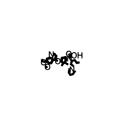 CCCC(CCN1CCCCC1)N(C(=O)O)c1ccc(Oc2ccnc3cc(OC)c(OC)cc23)c(C)c1C